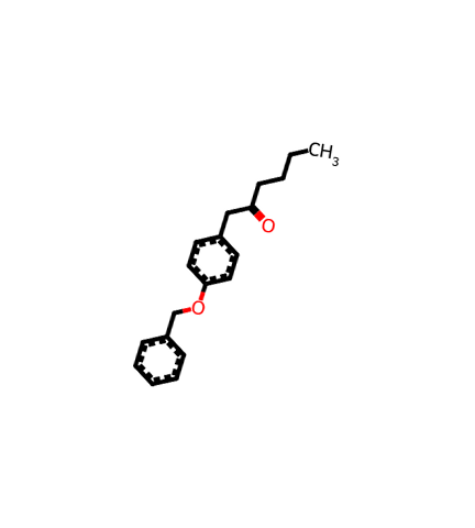 CCCCC(=O)Cc1ccc(OCc2ccccc2)cc1